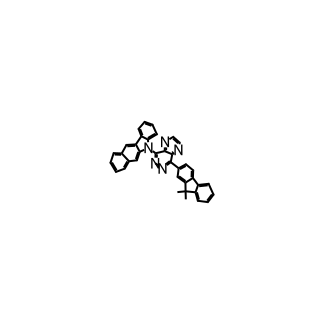 CC1(C)c2ccccc2-c2ccc(-c3nnc(-n4c5ccccc5c5cc6ccccc6cc54)c4nccnc34)cc21